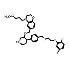 COCCCN1CCOc2ccc(COC3CNCCC3c3ccc(COCCOc4cc(F)ccc4F)cc3)cc21